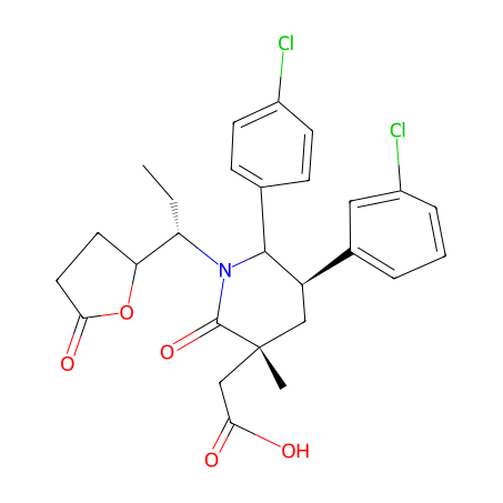 CC[C@@H](C1CCC(=O)O1)N1C(=O)[C@@](C)(CC(=O)O)C[C@H](c2cccc(Cl)c2)C1c1ccc(Cl)cc1